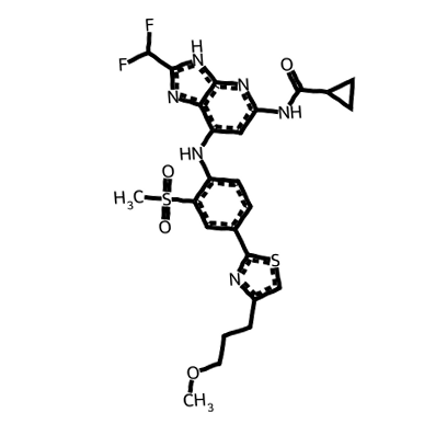 COCCCc1csc(-c2ccc(Nc3cc(NC(=O)C4CC4)nc4[nH]c(C(F)F)nc34)c(S(C)(=O)=O)c2)n1